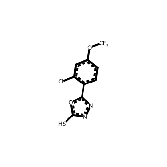 FC(F)(F)Oc1ccc(-c2nnc(S)o2)c(Cl)c1